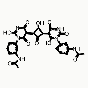 CC(=O)Nc1cccc(N2C(=O)/C(=C3\C(=O)C(c4c(O)n(-c5cccc(NC(C)=O)c5)c(=O)[nH]c4=O)C3O)C(=O)N=C2O)c1